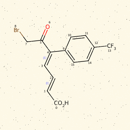 O=C(O)/C=C/C=C(/C(=O)CBr)c1ccc(C(F)(F)F)cc1